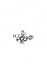 CC(=O)N1c2ccc(N3CCOCC3)nc2[C@H](N)[C@@H](C)[C@@H]1C1CC1